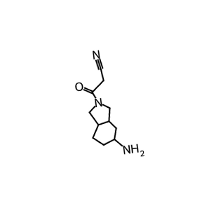 N#CCC(=O)N1CC2CCC(N)CC2C1